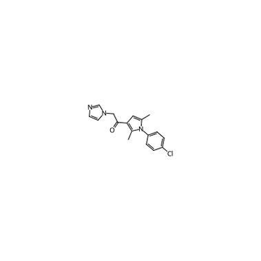 Cc1cc(C(=O)Cn2ccnc2)c(C)n1-c1ccc(Cl)cc1